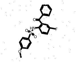 COc1ccc(S(=O)(=O)Nc2ccc(F)cc2C(=O)c2ccccc2)cc1